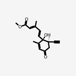 C#C[C@@]1(C)CC(=O)C=C(C)[C@]1(O)C=CC(C)=CC(=O)OC